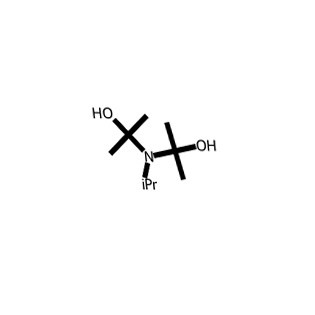 CC(C)N(C(C)(C)O)C(C)(C)O